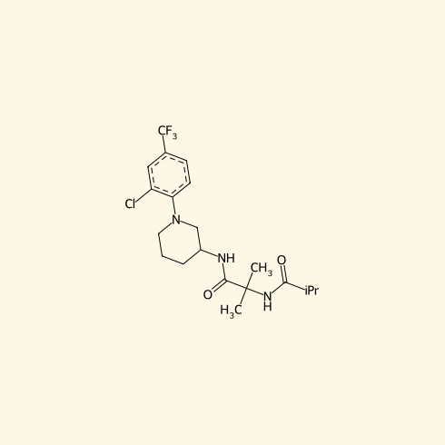 CC(C)C(=O)NC(C)(C)C(=O)NC1CCCN(c2ccc(C(F)(F)F)cc2Cl)C1